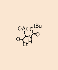 CCC(=O)C(COC(C)=O)NC(=O)OC(C)(C)C